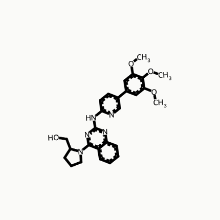 COc1cc(-c2ccc(Nc3nc(N4CCCC4CO)c4ccccc4n3)nc2)cc(OC)c1OC